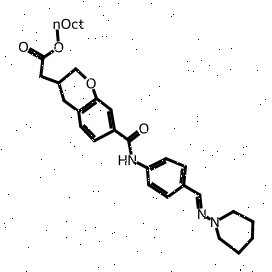 CCCCCCCCOC(=O)CC1COc2cc(C(=O)Nc3ccc(C=NN4CCCCC4)cc3)ccc2C1